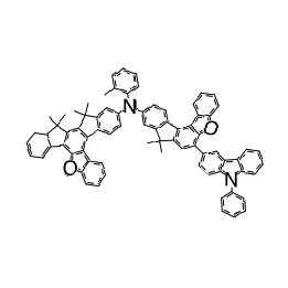 Cc1ccccc1N(c1ccc2c(c1)C(C)(C)c1cc(-c3ccc4c(c3)c3ccccc3n4-c3ccccc3)c3oc4ccccc4c3c1-2)c1ccc2c(c1)C(C)(C)c1c3c(c4oc5ccccc5c4c1-2)C1=CC=CCC1C3(C)C